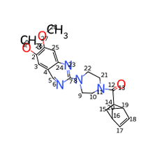 COc1cc2cnc(N3CCN(C(=O)C4CC5C=CC4C5)CC3)nc2cc1OC